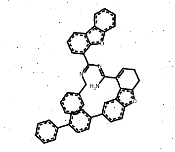 N/C(=N\C(=N/Cc1ccccc1)c1cccc2c1oc1ccccc12)C1=CCCc2oc3ccc(-c4ccc(-c5ccccc5)cc4)cc3c21